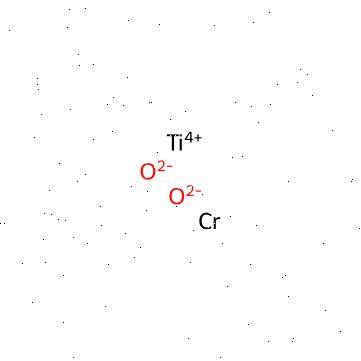 [Cr].[O-2].[O-2].[Ti+4]